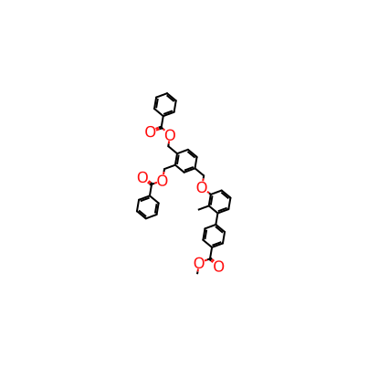 COC(=O)c1ccc(-c2cccc(OCc3ccc(COC(=O)c4ccccc4)c(COC(=O)c4ccccc4)c3)c2C)cc1